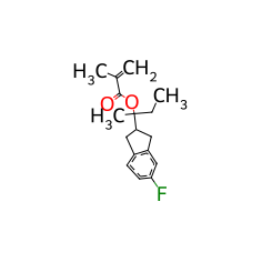 C=C(C)C(=O)OC(C)(CC)C1Cc2ccc(F)cc2C1